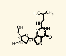 CC(C)CNc1nc2c(ncn2[C@H]2C[C@@H](O)[C@H](CO)O2)c(=O)[nH]1